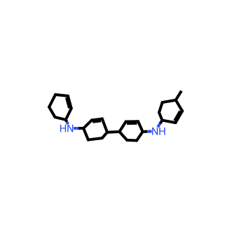 CC1C=CC(NC2C=CC(C3C=CC(NC4C=CCCC4)CC3)CC2)CC1